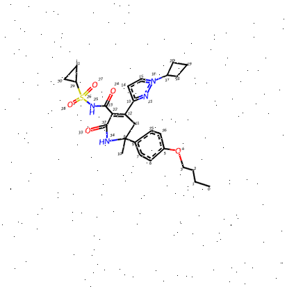 CCCCOc1ccc(C2(C)CC(c3ccn(C4CCC4)n3)=C(C(=O)NS(=O)(=O)C3CC3)C(=O)N2)cc1